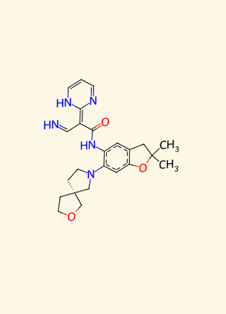 CC1(C)Cc2cc(NC(=O)/C(C=N)=C3\N=CC=CN3)c(N3CC[C@]4(CCOC4)C3)cc2O1